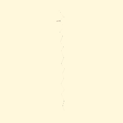 CC(C)CCCCCCCCCCCCCCCOC(=O)NN